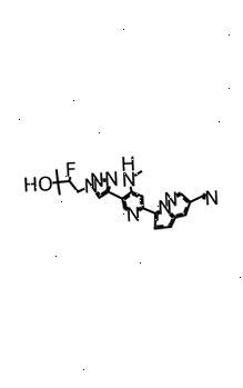 CNc1cc(-c2ccc3cc(C#N)cnn23)ncc1-c1cn(CC(F)C(C)(C)O)nn1